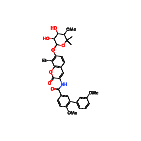 CCc1c(O[C@@H]2OC(C)(C)C(OC)C(O)C2O)ccc2cc(NC(=O)c3ccc(OC)c(-c4cccc(OC)c4)c3)c(=O)oc12